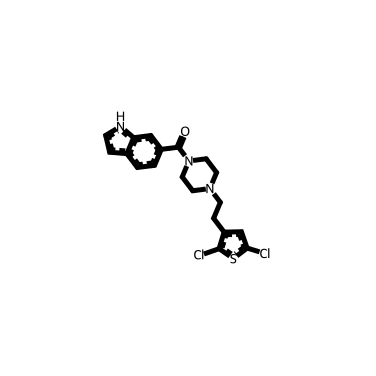 O=C(c1ccc2cc[nH]c2c1)N1CCN(CCc2cc(Cl)sc2Cl)CC1